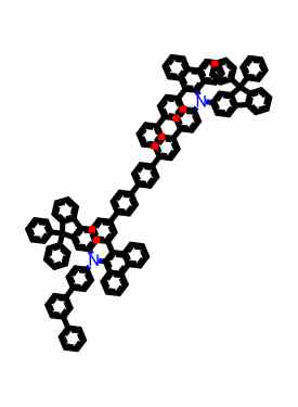 c1ccc(-c2ccc(-c3c(N(c4ccc(-c5ccc(-c6ccc(-c7ccc(-c8cccc(-c9c(N(c%10ccc(-c%11cccc(-c%12ccccc%12)c%11)cc%10)c%10ccc%11c(c%10)C(c%10ccccc%10)(c%10ccccc%10)c%10ccccc%10-%11)c%10ccccc%10c%10ccccc9%10)c8)cc7)cc6)cc5)cc4)c4ccc5c(c4)C(c4ccccc4)(c4ccccc4)c4ccccc4-5)c4ccccc4c4ccccc34)cc2)cc1